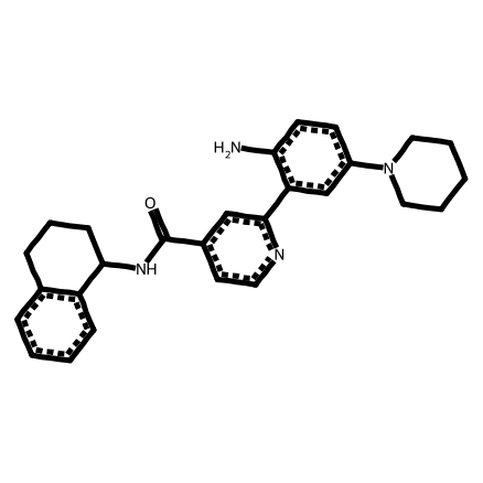 Nc1ccc(N2CCCCC2)cc1-c1cc(C(=O)NC2CCCc3ccccc32)ccn1